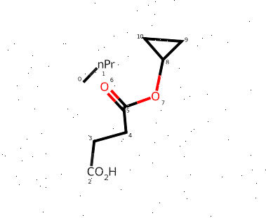 CCCC.O=C(O)CCC(=O)OC1CC1